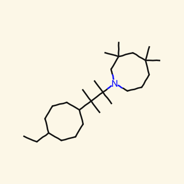 CCC1CCCC(C(C)(C)C(C)(C)N2CCCC(C)(C)CC(C)(C)C2)CCC1